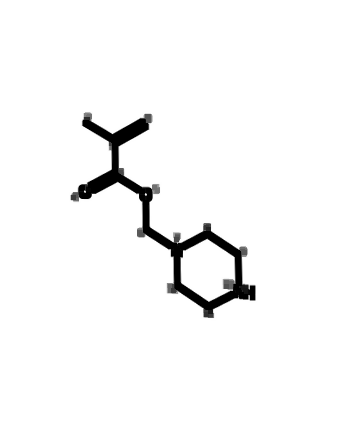 C=C(C)C(=O)OCN1CCNCC1